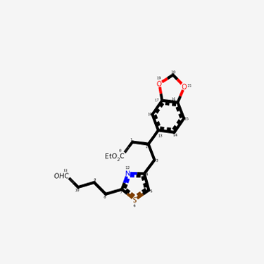 CCOC(=O)CC(Cc1csc(CCCC=O)n1)c1ccc2c(c1)OCO2